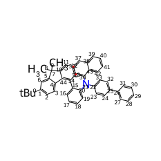 CC(C)(C)c1ccc2c(c1)C(C)(C)c1cccc(-c3ccccc3N(c3ccc(-c4ccccc4)cc3)c3cccc4ccccc34)c1-2